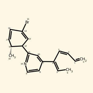 C=C/C=C\C(=C/C)c1ccnc(C2C=C(Br)C=C[C@H]2C)c1